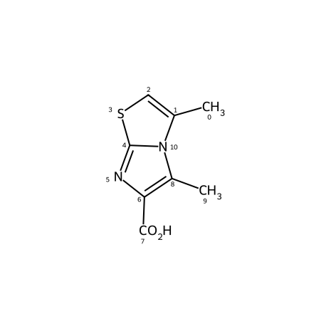 Cc1csc2nc(C(=O)O)c(C)n12